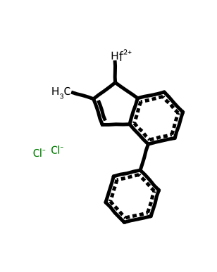 CC1=Cc2c(-c3ccccc3)cccc2[CH]1[Hf+2].[Cl-].[Cl-]